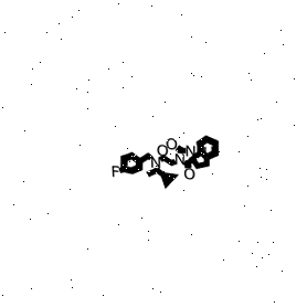 CC(C1CC1)N(Cc1ccc(F)cc1)C(=O)CN1C(=O)NC2(CCc3ccccc32)C1=O